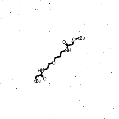 CC(C)(C)CC(=O)NCCOCCCNC(=O)COC(C)(C)C